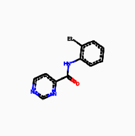 CCc1ccccc1NC(=O)c1ccncn1